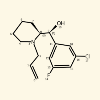 C=CCN1CCCC[C@H]1[C@@H](O)c1cc(F)cc(Cl)c1